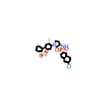 CS(=O)(=O)c1ccccc1-c1ccc(N2CC[C@H](NS(=O)(=O)c3ccc4cc(Cl)ccc4c3)C2=O)c(F)c1